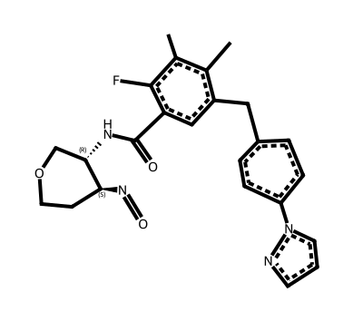 Cc1c(Cc2ccc(-n3cccn3)cc2)cc(C(=O)N[C@H]2COCC[C@@H]2N=O)c(F)c1C